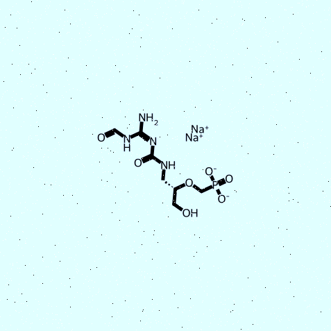 NC(=NC(=O)NC[C@@H](CO)OCP(=O)([O-])[O-])NC=O.[Na+].[Na+]